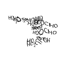 C=CC(=O)O.C=CC(=O)O.C=CC(=O)O.C=CC(=O)O.COc1cc(C=O)cc(OC)c1O.COc1cc(C=O)ccc1O.O=Cc1ccccc1O.OCc1ccco1